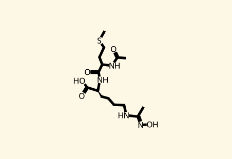 CSCCC(NC(C)=O)C(=O)N[C@@H](CCCCN/C(C)=N/O)C(=O)O